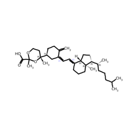 C=C1CC[C@H]([C@@]2(C)CCOC(C)(C(=O)O)O2)C/C1=C/C=C1\CCC[C@]2(C)[C@@H]([C@H](C)CCCC(C)C)CC[C@@H]12